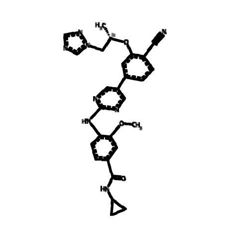 COc1cc(C(=O)NC2CC2)ccc1Nc1ncc(-c2ccc(C#N)c(O[C@@H](C)Cn3cncn3)c2)cn1